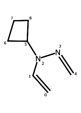 C=CN(N=C)C1CCC1